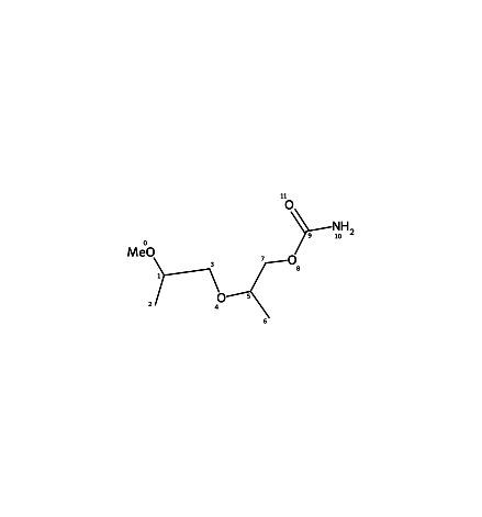 COC(C)COC(C)COC(N)=O